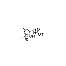 Cc1cc(CNC(=O)OC(C)(C)C)c(O)c([N+](=O)[O-])c1